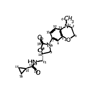 CN1CCOc2cc(N3C[C@H](CNC(=O)C4CC4)OC3=O)ccc21